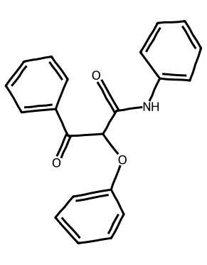 O=C(Nc1ccccc1)C(Oc1ccccc1)C(=O)c1ccccc1